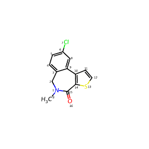 CN1Cc2ccc(Cl)cc2-c2ccsc2C1=O